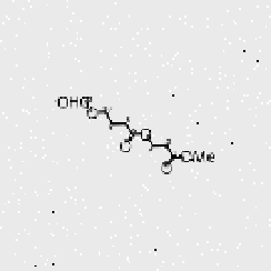 COC(=O)CCOC(=O)CCCO[C]=O